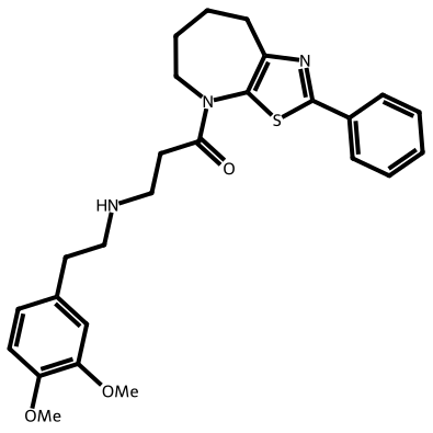 COc1ccc(CCNCCC(=O)N2CCCCc3nc(-c4ccccc4)sc32)cc1OC